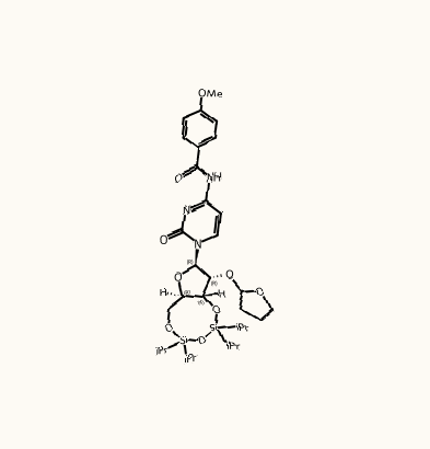 COc1ccc(C(=O)Nc2ccn([C@@H]3O[C@@H]4CO[Si](C(C)C)(C(C)C)O[Si](C(C)C)(C(C)C)O[C@H]4[C@H]3OC3CCCO3)c(=O)n2)cc1